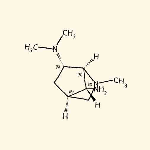 CN(C)[C@H]1C[C@@H]2CN(C)[C@H]1[C@@H]2N